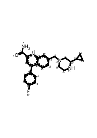 NC(=O)c1cc(-c2ccc(F)cc2)c2ccc(CN3CCNC(C4CC4)C3)cc2n1